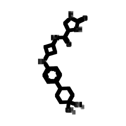 CC1(C)CCC(c2ccc(NC3CC(NC(=O)C4CNC(=O)N4)C3)cc2)CC1